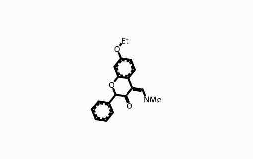 CCOc1ccc2c(c1)OC(c1ccccc1)C(=O)C2=CNC